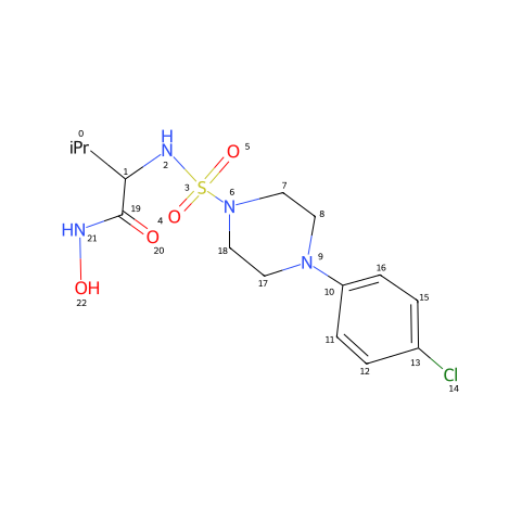 CC(C)C(NS(=O)(=O)N1CCN(c2ccc(Cl)cc2)CC1)C(=O)NO